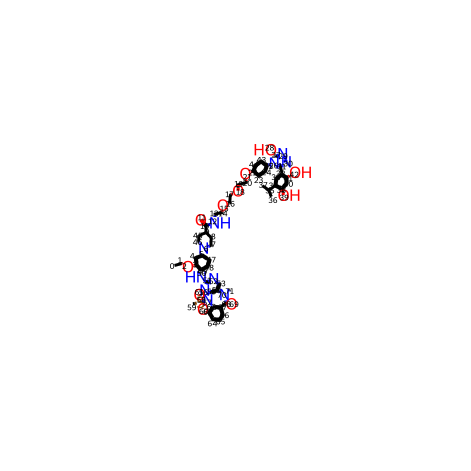 CCOc1cc(N2CCC(C(=O)NCCOCCOCCOc3ccc(-n4c(O)nnc4-c4cc(C(C)C)c(O)cc4O)cc3)CC2)ccc1Nc1ncc2c(n1)N(S(C)(=O)=O)c1ccccc1C(=O)N2C